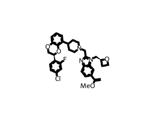 C=C(OC)c1ccc2nc(CN3CCC(c4cccc5c4O[C@@H](c4ccc(Cl)cc4F)CO5)CC3)n(C[C@@H]3CCO3)c2c1